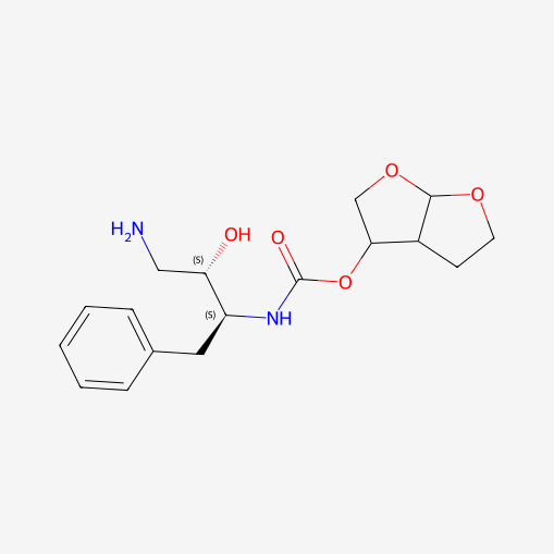 NC[C@H](O)[C@H](Cc1ccccc1)NC(=O)OC1COC2OCCC12